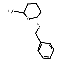 CC1CCC[C@H](OCc2ccccc2)O1